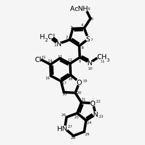 C=Nc1cc(CNC(C)=O)sc1/C(=N\C)c1cc(Cl)cc2c1OC(c1onc3c1CNCC3)C2